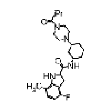 Cc1ccc(F)c2c1NC(C(=O)N[C@@H]1CCC[C@H](N3CCN(C(=O)C(C)C)CC3)C1)C2